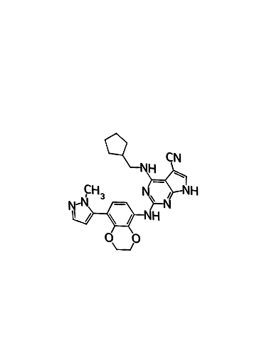 Cn1nccc1-c1ccc(Nc2nc(NCC3CCCC3)c3c(C#N)c[nH]c3n2)c2c1OCCO2